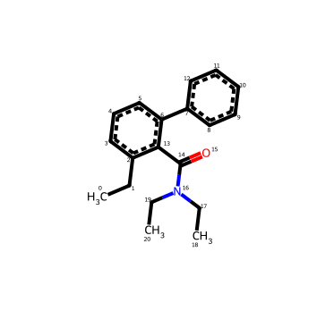 CCc1cccc(-c2ccccc2)c1C(=O)N(CC)CC